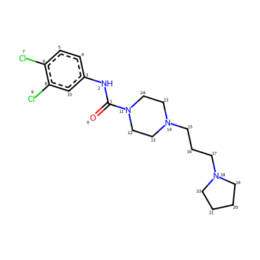 O=C(Nc1ccc(Cl)c(Cl)c1)N1CCN(CCCN2CCCC2)CC1